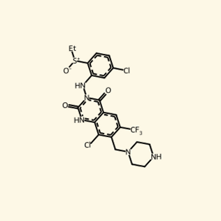 CC[S+]([O-])c1ccc(Cl)cc1Nn1c(=O)[nH]c2c(Cl)c(CN3CCNCC3)c(C(F)(F)F)cc2c1=O